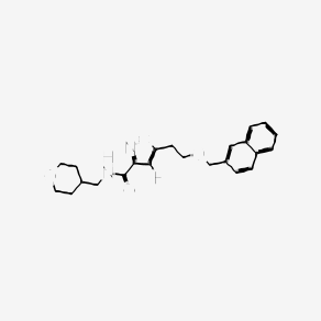 O=C(NCC1CCOCC1)c1noc(CCOCc2ccc3ccccc3c2)c1F